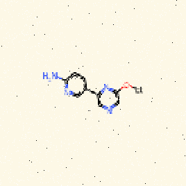 CCOc1cncc(-c2ccc(N)nc2)n1